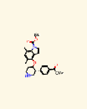 COC(=O)c1ccc([C@@H]2CNCC[C@H]2Oc2c(C)cc(C)c3c2ccn3C(=O)OC(C)(C)C)cc1